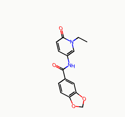 CCn1cc(NC(=O)c2ccc3c(c2)OCO3)ccc1=O